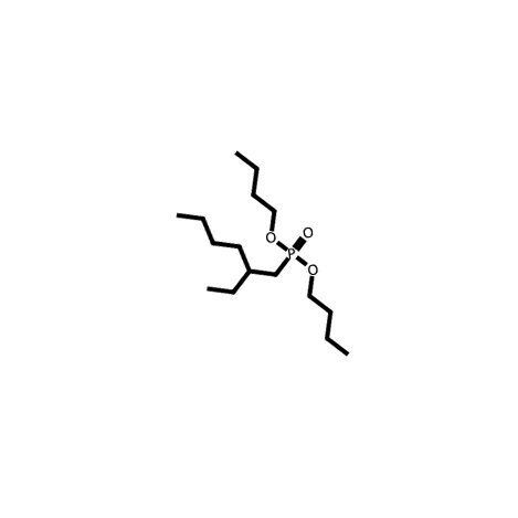 CCCCOP(=O)(CC(CC)CCCC)OCCCC